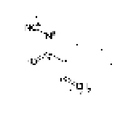 C=CCC(=O)[N]C#N